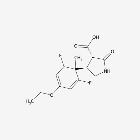 CCOC1=CC(F)C(C)([C@@H]2CNC(=O)[C@H]2C(=O)O)C(F)=C1